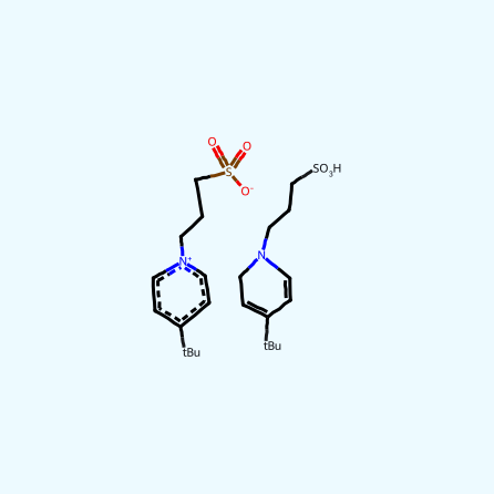 CC(C)(C)C1=CCN(CCCS(=O)(=O)O)C=C1.CC(C)(C)c1cc[n+](CCCS(=O)(=O)[O-])cc1